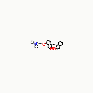 CCN(CC)CCCOc1cccc2c(Cc3c(O)ccc4ccccc34)c(O)ccc12